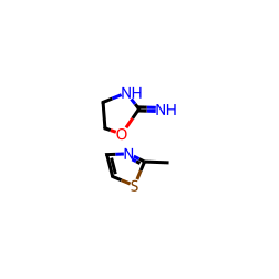 Cc1nccs1.N=C1NCCO1